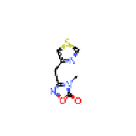 Cn1c(Cc2cscn2)noc1=O